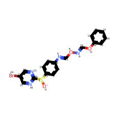 [O-][S+](c1ccc(/N=C/O/N=C/Oc2ccccc2)cc1)c1ncc(Br)cn1